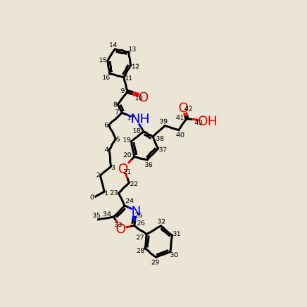 CCCCCCCC(=CC(=O)c1ccccc1)Nc1cc(OCCc2nc(-c3ccccc3)oc2C)ccc1CCC(=O)O